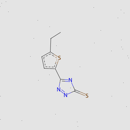 CCc1ccc(C2=NC(=S)N=N2)s1